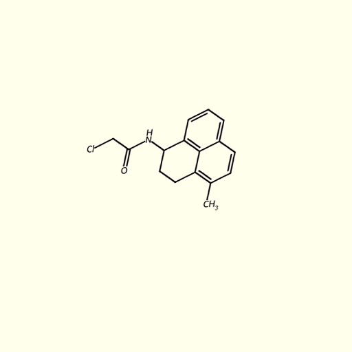 Cc1ccc2cccc3c2c1CCC3NC(=O)CCl